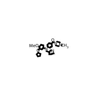 COc1ccc(N(Cc2cccnc2)c2ccc(C(=O)N3CCN(C)CC3)cc2)cc1OC1CCCC1